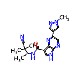 C[C@H](NC(=O)c1c[nH]c2ncc(-c3cnn(C)c3)nc12)C(C)(C)C#N